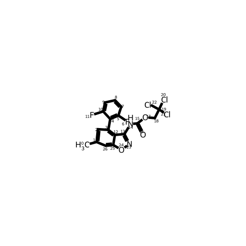 Cc1cc(-c2c(F)cccc2F)c2c(NC(=O)OCC(Cl)(Cl)Cl)noc2c1